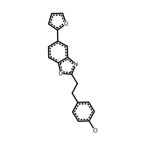 Clc1ccc(CCc2nc3cc(-c4ccco4)ccc3o2)cc1